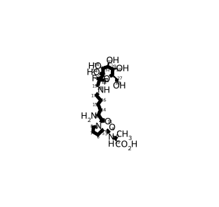 C[C@H](NC(=O)[C@@H]1CCCN1C(=O)[C@@H](N)CCCCNCC(F)(F)C1(O)O[C@H](CO)[C@H](O)[C@H](O)[C@H]1O)C(=O)O